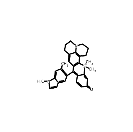 Cc1cc2c(ccn2C)cc1C1=C2C=CC(=O)C=C2[Si](C)(C)c2c1cc1c3c2CCCN3CCC1